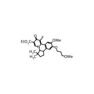 CCOC(=O)c1cn2c(c(F)c1=O)-c1cc(OC)c(OCCCOC)cc1C1CCC(C)(C)C12